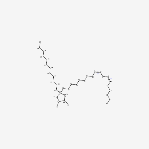 CCCCC/C=C\C/C=C\CCCCCCCCC1(CCCCCCCCCCCC)OC(C)C(C)O1